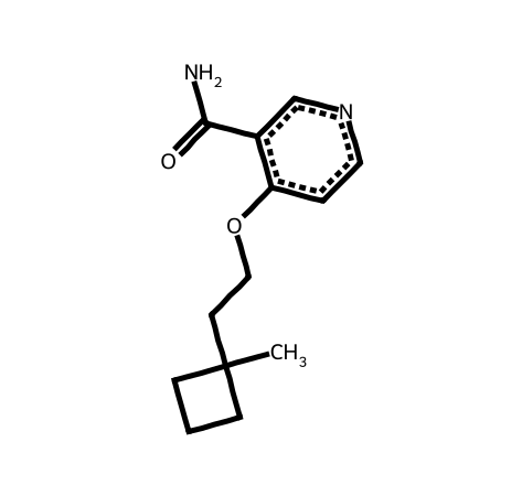 CC1(CCOc2ccncc2C(N)=O)CCC1